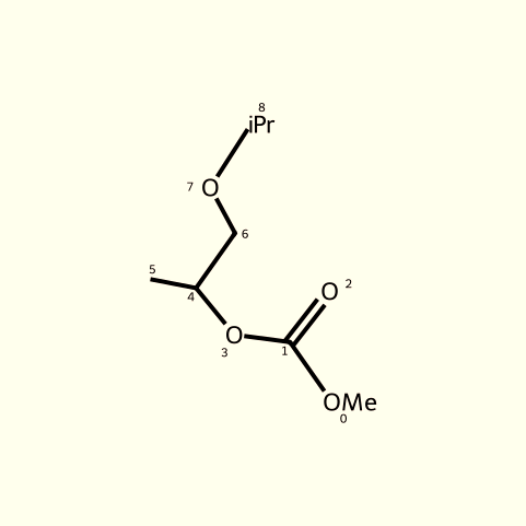 COC(=O)OC(C)COC(C)C